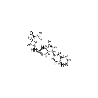 CN(C)C(=O)C1(C)CC(Nc2ncc3c(-c4ccc5nnccc5c4)c[nH]c3n2)C1